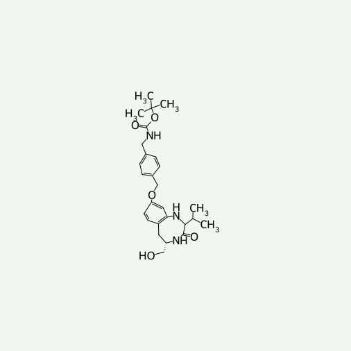 CC(C)C1Nc2cc(OCc3ccc(CNC(=O)OC(C)(C)C)cc3)ccc2C[C@@H](CO)NC1=O